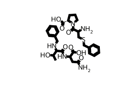 CC(O)C(NCc1ccccc1)C(=O)NC(CC(N)=O)C(=O)O.NC(CSCc1ccccc1)C(=O)N1CCC[C@H]1C(=O)O